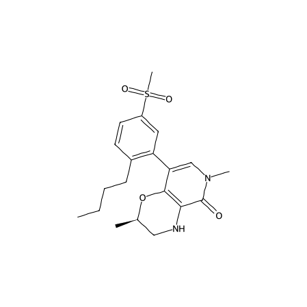 CCCCc1ccc(S(C)(=O)=O)cc1-c1cn(C)c(=O)c2c1O[C@H](C)CN2